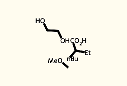 CCCCC(CC)C(=O)O.COC.OCCO